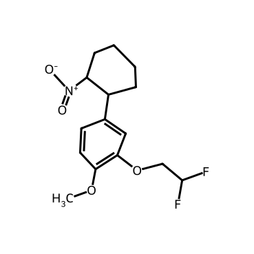 COc1ccc(C2CCCCC2[N+](=O)[O-])cc1OCC(F)F